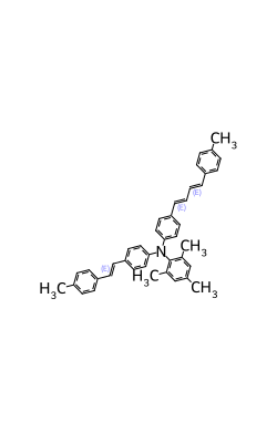 Cc1ccc(/C=C/C=C/c2ccc(N(c3ccc(/C=C/c4ccc(C)cc4)cc3)c3c(C)cc(C)cc3C)cc2)cc1